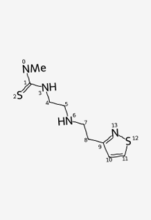 CNC(=S)NCCNCCc1ccsn1